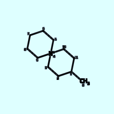 CC1CC[N+]2(CCCCC2)CC1